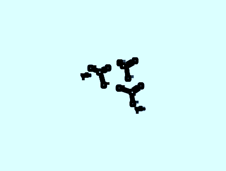 [O]=[Cr]([O-])[O-].[O]=[Cr]([O-])[O-].[O]=[Cr]([O-])[O-].[Y+3].[Y+3]